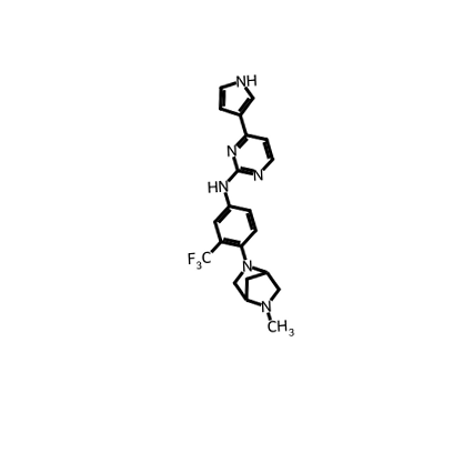 CN1CC2CC1CN2c1ccc(Nc2nccc(-c3cc[nH]c3)n2)cc1C(F)(F)F